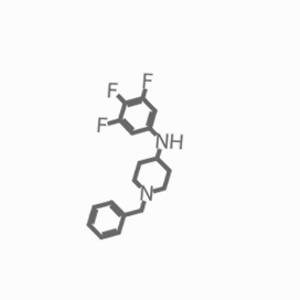 Fc1cc(NC2CCN(Cc3ccccc3)CC2)cc(F)c1F